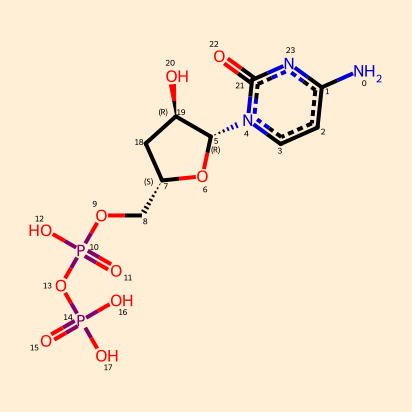 Nc1ccn([C@@H]2O[C@H](COP(=O)(O)OP(=O)(O)O)C[C@H]2O)c(=O)n1